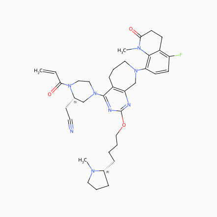 C=CC(=O)N1CCN(c2nc(OCCCC[C@@H]3CCCN3C)nc3c2CCCN(c2ccc(F)c4c2N(C)C(=O)CC4)C3)C[C@@H]1CC#N